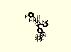 [2H]C([2H])([2H])n1ncc2cc(-c3nc(NCc4cccc(F)c4)[nH]c3-c3cccc(C)n3)ccc21